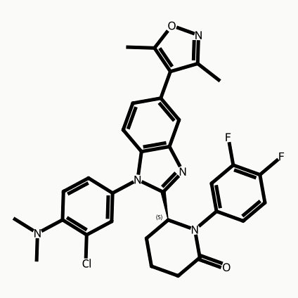 Cc1noc(C)c1-c1ccc2c(c1)nc([C@@H]1CCCC(=O)N1c1ccc(F)c(F)c1)n2-c1ccc(N(C)C)c(Cl)c1